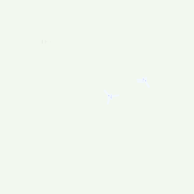 C=Cc1ccccc1-c1cn(-c2cccnc2)c2ccc(CCC(=O)O)cc12